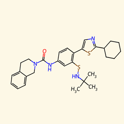 CC(C)(C)NSc1cc(NC(=O)N2CCc3ccccc3C2)ccc1-c1cnc(C2CCCCC2)s1